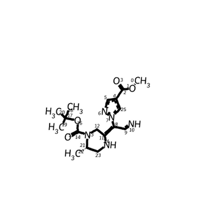 COC(=O)c1cnn(/C(C=N)=C2\CN(C(=O)OC(C)(C)C)[C@@H](C)CN2)c1